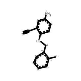 C#Cc1cc(N)ccc1OCc1ccccc1F